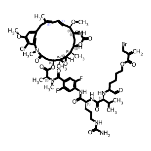 C=C(CBr)C(=O)OCCCCC(C=O)N[C@H](C(=O)N[C@@H](CCCNC(N)=O)C(=O)Nc1cc(F)c(C(=O)N(C)[C@@H](C)C(=O)O[C@H]2CC(=O)N(C)c3cc(cc(OC)c3Cl)C/C(C)=C/C=C/[C@@H](OC)[C@@]3(O)C[C@H](OC(=O)N3)[C@@H](C)[C@@H]3O[C@@]23C)cc1F)C(C)C